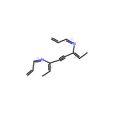 C=C/C=N\C(C#CC(=C/C)/N=C\C=C)=C/C